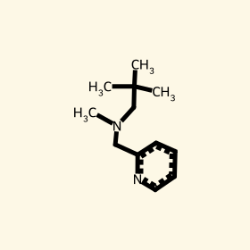 CN(Cc1ccccn1)CC(C)(C)C